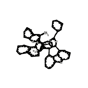 C/C=C(/c1nc(-c2ccccc2)nc(-c2cccc3oc4cccc(-c5cccc6oc7c8ccccc8ccc7c56)c4c23)n1)c1oc2ccccc2c1C